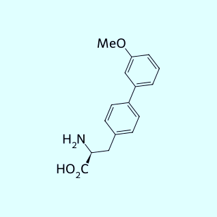 COc1cccc(-c2ccc(C[C@H](N)C(=O)O)cc2)c1